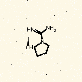 CI.N=C(N)N1CCCC1